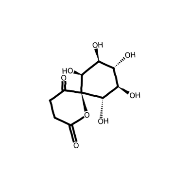 O=C1CCC(=O)[C@@]2(O1)[C@@H](O)[C@H](O)[C@@H](O)[C@H](O)[C@@H]2O